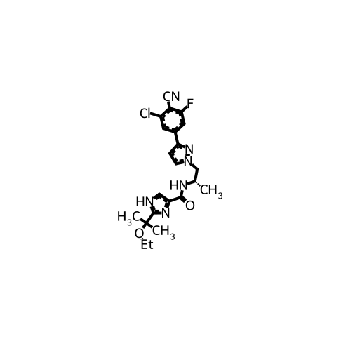 CCOC(C)(C)c1nc(C(=O)N[C@@H](C)Cn2ccc(-c3cc(F)c(C#N)c(Cl)c3)n2)c[nH]1